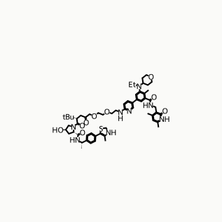 CCN(c1cc(-c2ccc(NCCOCCOCC(=O)C[C@H](C(=O)N3C[C@H](O)C[C@H]3C(=O)N[C@@H](C)c3ccc(C4=C(C)NCS4)cc3)C(C)(C)C)nc2)cc(C(=O)NCc2c(C)cc(C)[nH]c2=O)c1C)C1CCOCC1